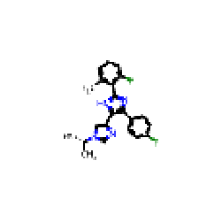 C[C@@H](n1cnc(-c2[nH]c(-c3c(F)cccc3C(F)(F)F)nc2-c2ccc(F)cc2)c1)C(C)(C)C